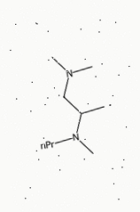 CCCN(C)C(C)CN(C)C